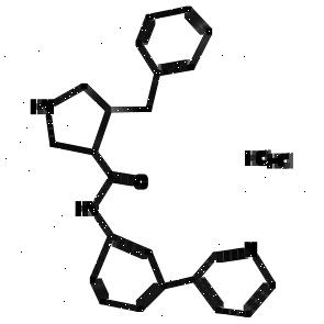 Cl.Cl.O=C(Nc1cccc(-c2cccnc2)c1)C1CNCC1Cc1ccccc1